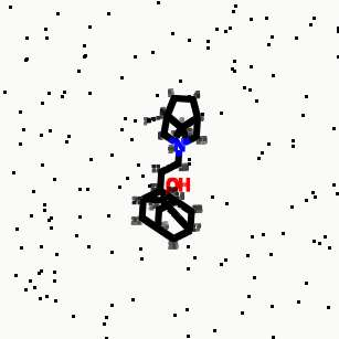 CC1(C)C2CC[C@]1(C)CN(CCC1C3CC4CC(C3)C(O)C1C4)C2